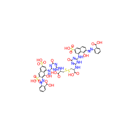 O=C(O)c1ccccc1/N=N/c1ccc2cc(S(=O)(=O)O)cc(Nc3nc(=O)nc(NC(CSSCC(Nc4nc(=O)nc(Nc5cc(S(=O)(=O)O)cc6cc(S(=O)(=O)O)c(/N=N/c7ccccc7C(=O)O)c(O)c56)[nH]4)C(=O)O)C(=O)O)[nH]3)c2c1O